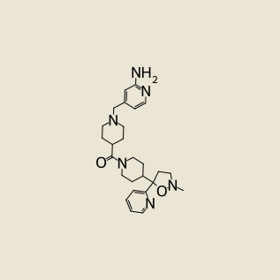 CN1CCC(c2ccccn2)(C2CCN(C(=O)C3CCN(Cc4ccnc(N)c4)CC3)CC2)O1